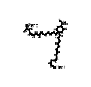 CCCCC/C=C\C/C=C\CCCCCCCCC1(CCCCCCCC/C=C\CC(C)CCCCC)CCC(N(C)C)CC1